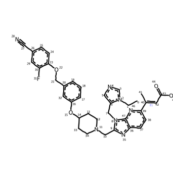 CCn1cncc1Cn1c(CN2CCC(Oc3cccc(COc4ccc(C#N)cc4F)c3)CC2)nc2ccc(/C(C)=C/C(=O)O)nc21